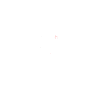 CCC(O)S(=O)(=O)O.[NaH]